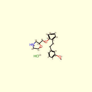 COc1cccc(CCc2ccccc2OCC2CNCCO2)c1.Cl